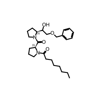 CCCCCCCC(=O)N1CCC[C@H]1C(=O)N1CCC[C@H]1C(O)COCc1ccccc1